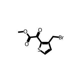 COC(=O)C(=O)c1sccc1CBr